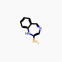 PC1=CN=Cc2ccccc2N1